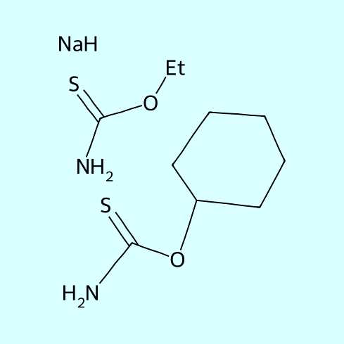 CCOC(N)=S.NC(=S)OC1CCCCC1.[NaH]